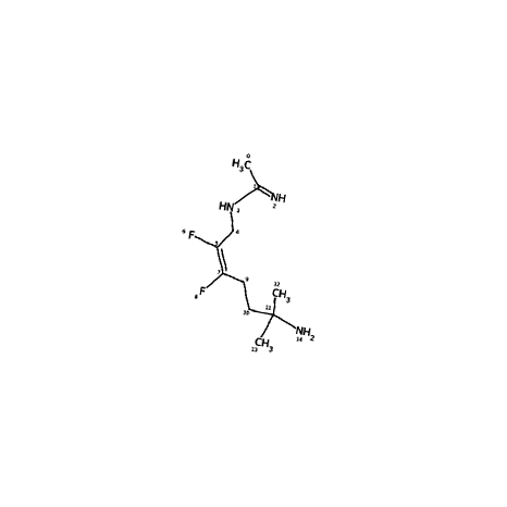 CC(=N)NC/C(F)=C(/F)CCC(C)(C)N